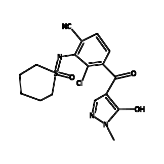 Cn1ncc(C(=O)c2ccc(C#N)c(N=S3(=O)CCCCC3)c2Cl)c1O